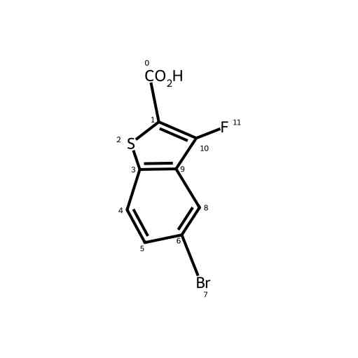 O=C(O)c1sc2ccc(Br)cc2c1F